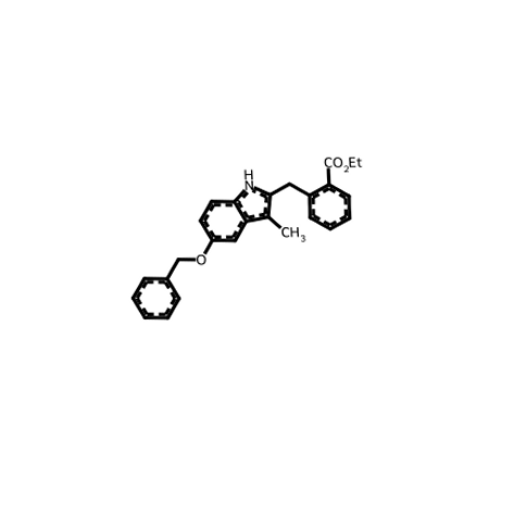 CCOC(=O)c1ccccc1Cc1[nH]c2ccc(OCc3ccccc3)cc2c1C